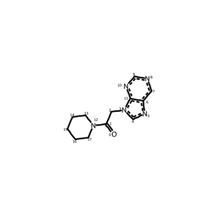 O=C(Cn1cnc2cncnc21)N1CCCCC1